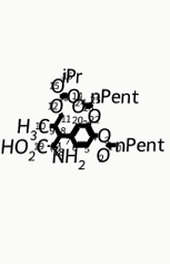 CCCCCC(=O)Oc1ccc(C(C(C)COC(=O)OC(C)C)[C@H](N)C(=O)O)cc1OC(=O)CCCCC